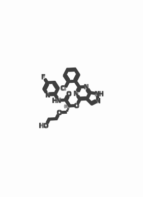 O=C(Nc1ccc(F)cn1)[C@@H](COCCO)Oc1nc(-c2ccccc2Cl)nc2[nH]ncc12